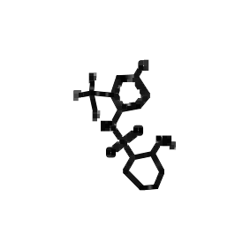 NC1CCCCC1S(=O)(=O)Nc1ccc(Cl)cc1C(F)(F)F